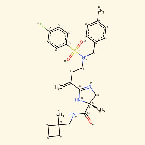 C=C(CCN(Cc1ccc(C(F)(F)F)cc1)S(=O)(=O)c1ccc(F)cc1)C1=NC[C@](C)(C(=O)NCC2(C)CCC2)N1